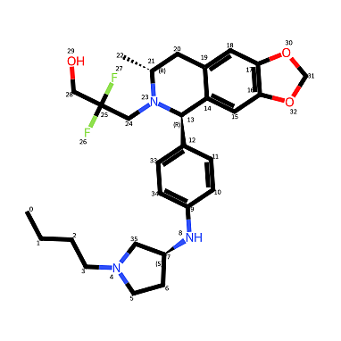 CCCCN1CC[C@H](Nc2ccc([C@@H]3c4cc5c(cc4C[C@@H](C)N3CC(F)(F)CO)OCO5)cc2)C1